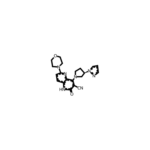 N#Cc1c(N2CC[C@@H](n3cccn3)C2)c2nc(N3CCOCC3)ccc2[nH]c1=O